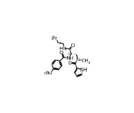 CCCCc1ccc(C(=O)N[C@@H](CN(C)C(=O)c2ccc[nH]2)C(=O)NCCC(C)C)cc1